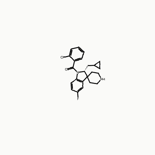 O=C(c1ccccc1Cl)N1c2ccc(F)cc2C2(CCNCC2)[C@H]1CC1CC1